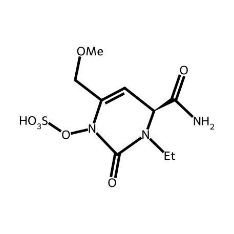 CCN1C(=O)N(OS(=O)(=O)O)C(COC)=C[C@H]1C(N)=O